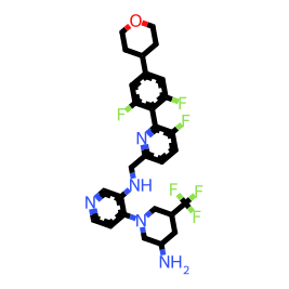 NC1CC(C(F)(F)F)CN(c2ccncc2NCc2ccc(F)c(-c3c(F)cc(C4CCOCC4)cc3F)n2)C1